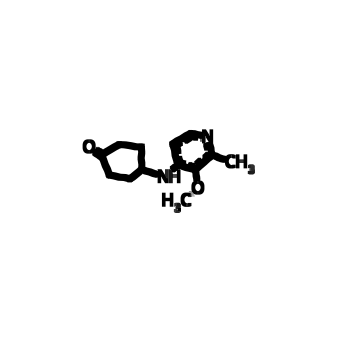 COc1c(NC2CCC(=O)CC2)ccnc1C